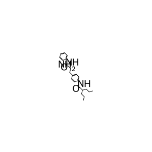 CCCC(CCC)C(=O)Nc1ccc(CCC(=O)Nc2ccccc2N)cc1